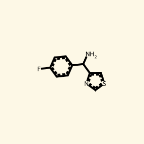 NC(c1ccc(F)cc1)c1cs[c]n1